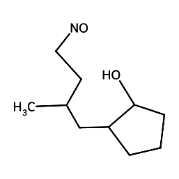 CC(CCN=O)CC1CCCC1O